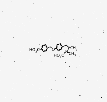 C[C@H](Cc1ccc(OCc2ccc(C(=O)O)cc2)cc1)N(C)CC(=O)O